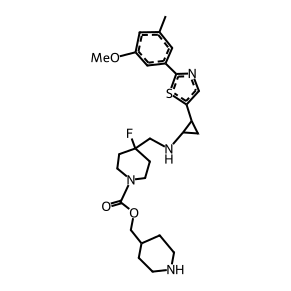 COc1cc(C)cc(-c2ncc(C3CC3NCC3(F)CCN(C(=O)OCC4CCNCC4)CC3)s2)c1